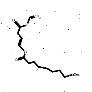 C=COC(=O)CC=COC(=O)CCCCCCCCCCCCCCCCC